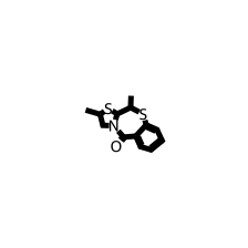 CC1CN2C(=O)c3ccccc3SC(C)C2S1